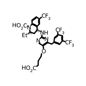 CC[C@@H]1C[C@H](Nc2ncc(OCCCCC(=O)O)c(Cc3cc(C(F)(F)F)cc(C(F)(F)F)c3)n2)c2cc(C(F)(F)F)ccc2N1C(=O)O